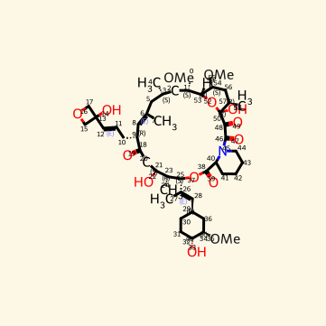 CO[C@H]1C[C@@H](C)C/C(C)=C/[C@@H](C/C=C/C2(O)COC2)C(=O)C[C@H](O)[C@@H](C)[C@@H](/C(C)=C/[C@@H]2CC[C@@H](O)[C@H](OC)C2)OC(=O)C2CCCCN2C(=O)C(=O)[C@]2(O)O[C@H]1[C@@H](OC)C[C@H]2C